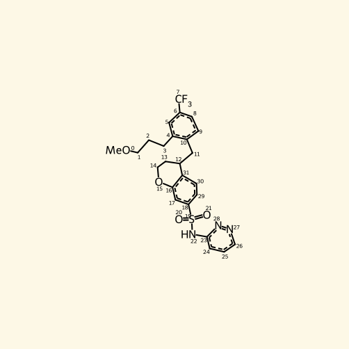 COCCCc1cc(C(F)(F)F)ccc1CC1CCOc2cc(S(=O)(=O)Nc3cccnn3)ccc21